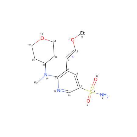 CCO/C=C/c1cc(S(N)(=O)=O)cnc1N(C)C1CCOCC1